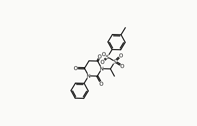 Cc1ccc(S(=O)(=O)S(=O)(=O)C(C)N2C(=O)CC(=O)N(c3ccccc3)C2=O)cc1